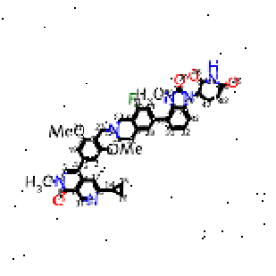 COc1cc(-c2cn(C)c(=O)c3cnc(C4CC4)cc23)cc(OC)c1CN1CCc2cc(-c3cccc4c3n(C)c(=O)n4C3CCC(=O)NC3=O)cc(F)c2C1